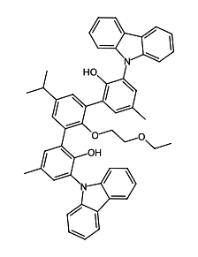 CCOCCOc1c(-c2cc(C)cc(-n3c4ccccc4c4ccccc43)c2O)cc(C(C)C)cc1-c1cc(C)cc(-n2c3ccccc3c3ccccc32)c1O